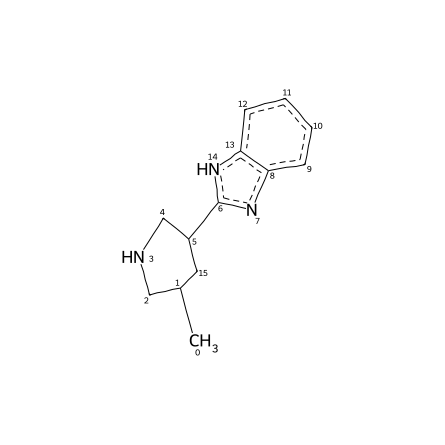 CC1CNCC(c2nc3ccccc3[nH]2)C1